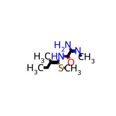 CC/C(C)=C(/NC(=O)/C(N)=N\C)SC